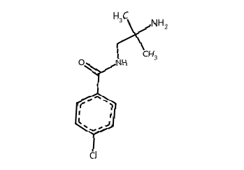 CC(C)(N)CNC(=O)c1ccc(Cl)cc1